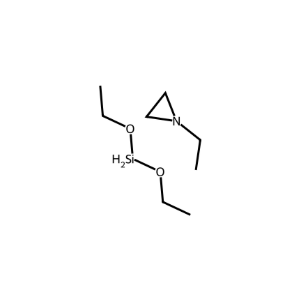 CCN1CC1.CCO[SiH2]OCC